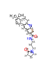 CC(C)(C)C1CCc2nc3sc(C(=O)NCCCN4CCCC4=O)cc3cc2C1